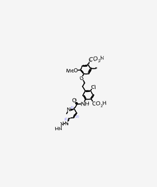 C\N=C(/C=C\C=N\N=N)C(=O)Nc1cc(CCOc2cc(C)c(C(=O)O)cc2OC)c(Cl)cc1C(=O)O